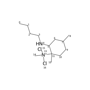 CCCCNC1CC(C)CCC1(C)[N+](C)(Cl)Cl